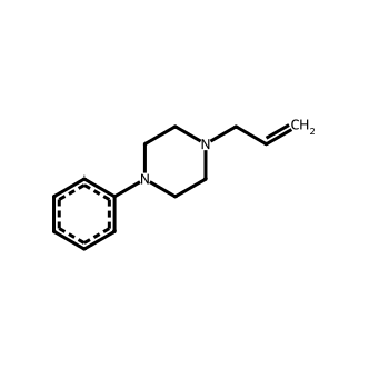 C=CCN1CCN(c2[c]cccc2)CC1